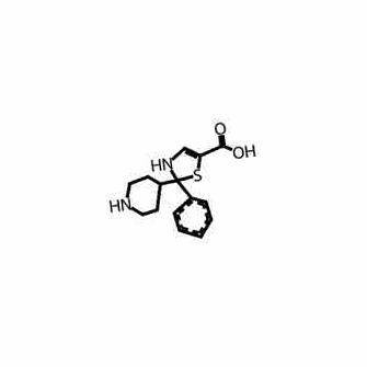 O=C(O)C1=CNC(c2ccccc2)(C2CCNCC2)S1